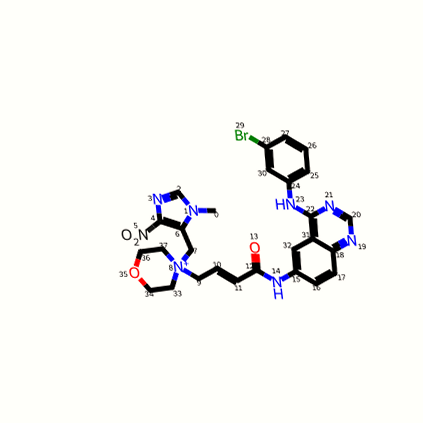 Cn1cnc([N+](=O)[O-])c1C[N+]1(CC=CC(=O)Nc2ccc3ncnc(Nc4cccc(Br)c4)c3c2)CCOCC1